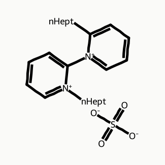 CCCCCCCc1cccc[n+]1-c1cccc[n+]1CCCCCCC.O=S(=O)([O-])[O-]